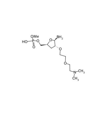 B[C@@H]1O[C@H](COP(=O)(O)OC)C[C@H]1OCCOCCN(C)C